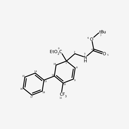 CCOC(=O)C1(CNC(=O)OC(C)(C)C)C=CC(C(F)(F)F)=C(c2ccccc2)C1